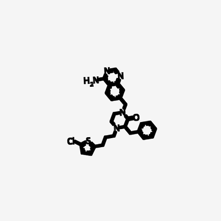 Nc1ncnc2cc(CN3CCN(CCCc4ccc(Cl)s4)C(Cc4ccccc4)C3=O)ccc12